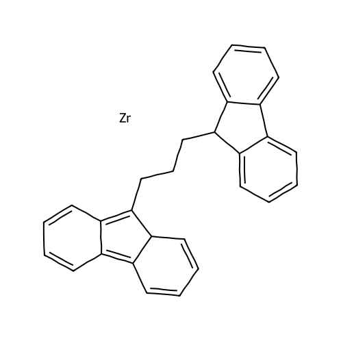 C1=CC2=c3ccccc3=C(CCCC3c4ccccc4-c4ccccc43)C2C=C1.[Zr]